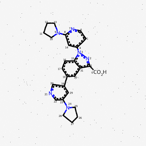 O=C(O)c1nn(-c2ccnc(N3CCCC3)c2)c2ccc(-c3cncc(N4CCCC4)c3)cc12